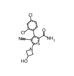 N#Cc1c(N2CC(O)C2)sc(C(N)=O)c1-c1ccc(Cl)cc1Cl